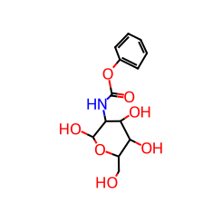 O=C(NC1C(O)OC(CO)C(O)C1O)Oc1ccccc1